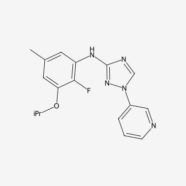 Cc1cc(Nc2ncn(-c3cccnc3)n2)c(F)c(OC(C)C)c1